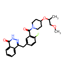 COCC(C)OC1CCN(C(=O)c2cc(Cc3n[nH]c(=O)c4ccccc34)ccc2F)CC1